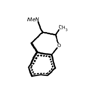 CNC1Cc2ccccc2OC1C